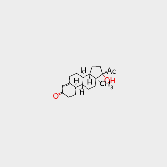 CC(=O)[C@]1(O)CC[C@H]2[C@@H]3CCC4=CC(=O)CC[C@@H]4[C@H]3CC[C@@]21C